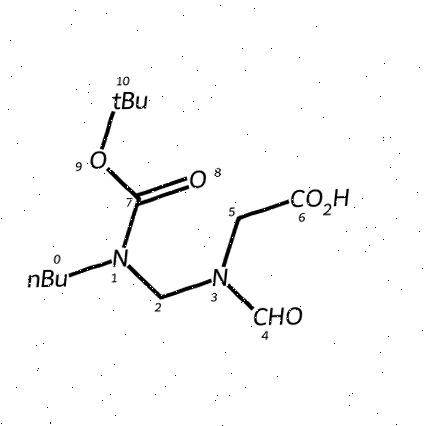 CCCCN(CN(C=O)CC(=O)O)C(=O)OC(C)(C)C